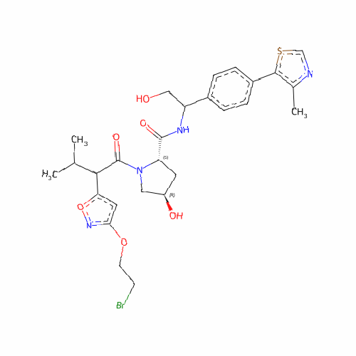 Cc1ncsc1-c1ccc(C(CO)NC(=O)[C@@H]2C[C@@H](O)CN2C(=O)C(c2cc(OCCBr)no2)C(C)C)cc1